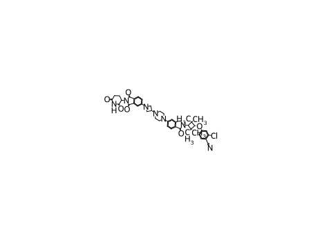 CC1(C)[C@H](Oc2ccc(C#N)c(Cl)c2)C(C)(C)[C@H]1N1Cc2cc(N3CCN(C4CN(c5ccc6c(c5)C(=O)N(C5CCC(=O)NC5=O)C6=O)C4)CC3)ccc2C1=O